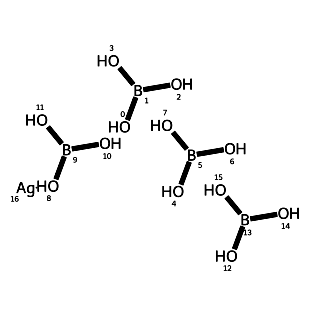 OB(O)O.OB(O)O.OB(O)O.OB(O)O.[Ag]